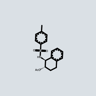 CC(=O)O[C@H]1CCc2ccccc2[C@@H]1NS(=O)(=O)c1ccc(C)cc1